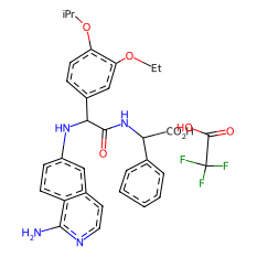 CCOc1cc(C(Nc2ccc3c(N)nccc3c2)C(=O)NC(C(=O)O)c2ccccc2)ccc1OC(C)C.O=C(O)C(F)(F)F